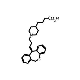 O=C(O)CCCC1CCN(CCC=C2c3ccccc3CSc3ccccc32)CC1